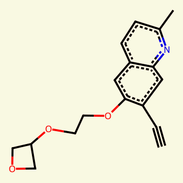 C#Cc1cc2nc(C)ccc2cc1OCCOC1COC1